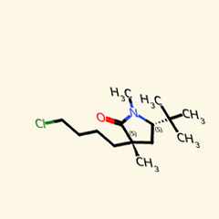 CN1C(=O)[C@@](C)(CCCCCl)C[C@H]1C(C)(C)C